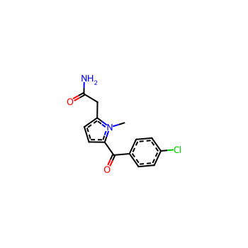 Cn1c(CC(N)=O)ccc1C(=O)c1ccc(Cl)cc1